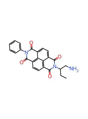 CCC(CN)N1C(=O)c2ccc3c4c(ccc(c24)C1=O)C(=O)N(c1ccccc1)C3=O